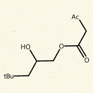 CC(=O)CC(=O)OCC(O)CC(C)(C)C